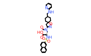 O=CN(C[C@H](NS(=O)(=O)c1ccc2ccccc2c1)C(=O)O)C1=NOC2(CCC(CNc3ccccn3)CC2)C1